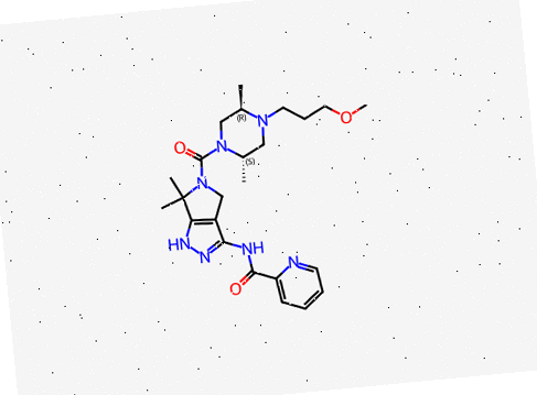 COCCCN1C[C@H](C)N(C(=O)N2Cc3c(NC(=O)c4ccccn4)n[nH]c3C2(C)C)C[C@H]1C